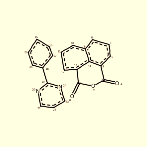 O=C1OC(=O)c2cccc3cccc1c23.c1ccc(-c2ncccn2)cc1